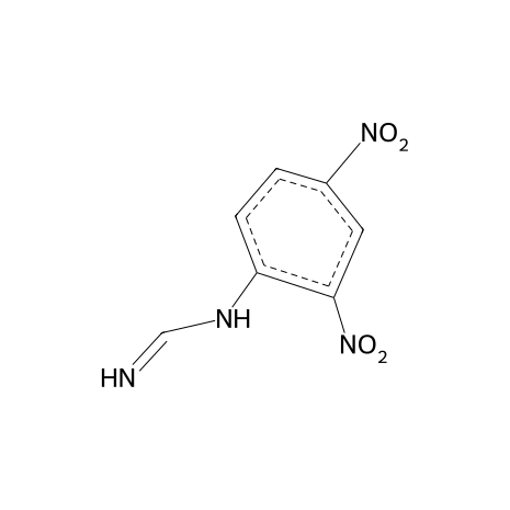 N=CNc1ccc([N+](=O)[O-])cc1[N+](=O)[O-]